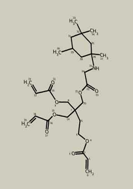 C=CC(=O)OCCC(COC(=O)C=C)(COC(=O)C=C)COC(=O)CNC1(C)CC(C)CC(C)(C)C1